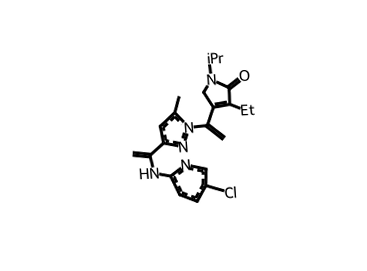 C=C(Nc1ccc(Cl)cn1)c1cc(C)n(C(=C)C2=C(CC)C(=O)N(C(C)C)C2)n1